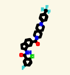 O=C(NC1CCc2ccc(C(=O)N3CCC4(CC3)CCN(c3ccc(C(F)(F)F)cc3)CC4)cc21)c1cc(F)ccc1Cl